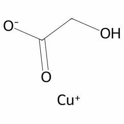 O=C([O-])CO.[Cu+]